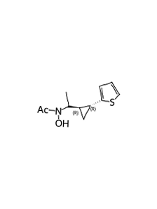 CC(=O)N(O)C(C)[C@@H]1C[C@H]1c1cccs1